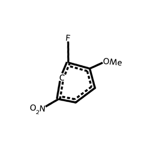 [CH2]Oc1ccc([N+](=O)[O-])cc1F